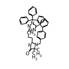 CCCC1=NC(=O)C(C)(C)N1Cc1ccc(-c2ccccc2-c2nnnn2C(c2ccccc2)(c2ccccc2)c2ccccc2)cc1